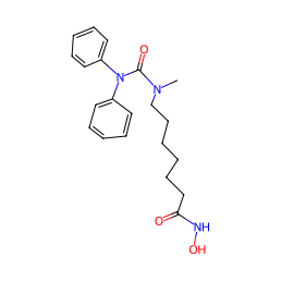 CN(CCCCCCC(=O)NO)C(=O)N(c1ccccc1)c1ccccc1